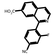 N#Cc1ccc(-c2nccc3ccc(C(=O)O)cc23)c(F)c1